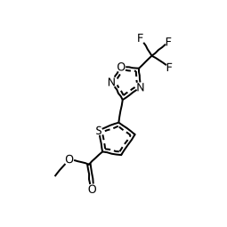 COC(=O)c1ccc(-c2noc(C(F)(F)F)n2)s1